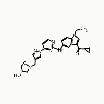 O=C(c1cn(CC(F)(F)F)c2ccc(Nc3nccc(-n4cc(CN5C[C@H](O)CO5)cn4)n3)cc12)C1CC1